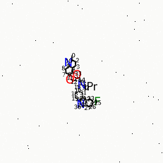 Cc1ccc2c3c(ccc2n1)OC[C@H](CN(CC1CCc2c(c4cc(F)ccc4n2C)C1)C(C)C)O3